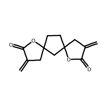 C=C1CC2(CCC3(CC(=C)C(=O)O3)C2)OC1=O